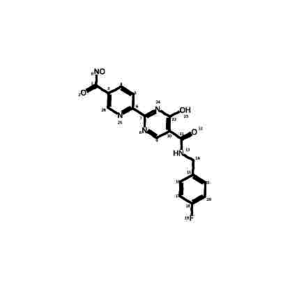 O=NC(=O)c1ccc(-c2ncc(C(=O)NCc3ccc(F)cc3)c(O)n2)nc1